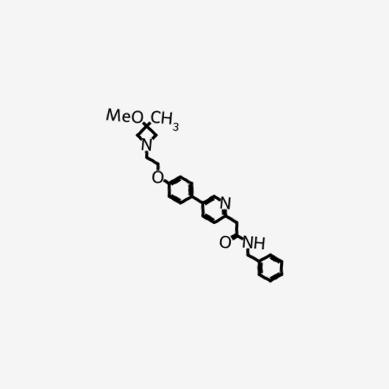 COC1(C)CN(CCOc2ccc(-c3ccc(CC(=O)NCc4ccccc4)nc3)cc2)C1